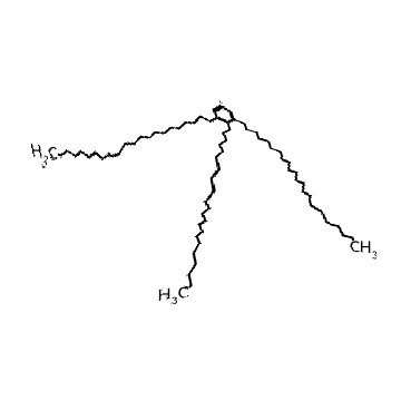 CCCCCCCCCCCCCCCCCCCCCCc1c[c]cc(CCCCCCCCCCCCCCCCCCCCCC)c1CCCCCCCCCCCCCCCCCCCCCC